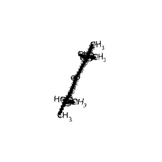 CCCCCCCCC(OC(=O)CC)C(O)CCCCCCCCCCCC(=O)OCCCCCCCCCCCCC(OC(=O)CC)C(CCCCCCCC)OC(=O)CC